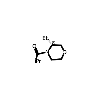 CC[C@@H]1COCCN1C(=O)C(C)C